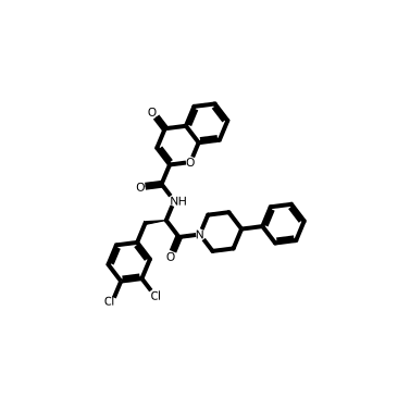 O=C(N[C@H](Cc1ccc(Cl)c(Cl)c1)C(=O)N1CCC(c2ccccc2)CC1)c1cc(=O)c2ccccc2o1